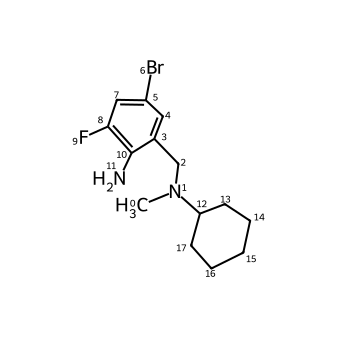 CN(Cc1cc(Br)cc(F)c1N)C1CCCCC1